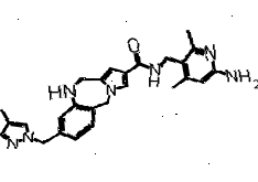 Cc1cnn(Cc2ccc3c(c2)NCc2cc(C(=O)NCc4c(C)cc(N)nc4C)cn2C3)c1